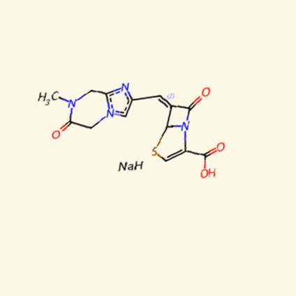 CN1Cc2nc(/C=C3/C(=O)N4C(C(=O)O)=CSC34)cn2CC1=O.[NaH]